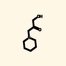 O=C(CO)CN1CCCCC1